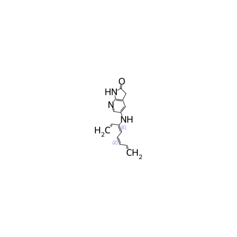 C=C/C=C\C=C(/C=C)Nc1cnc2c(c1)CC(=O)N2